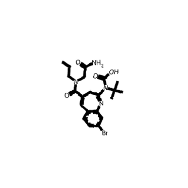 CCCN(CC(N)=O)C(=O)C1=Cc2ccc(Br)cc2N=C(N(C(=O)O)C(C)(C)C)C1